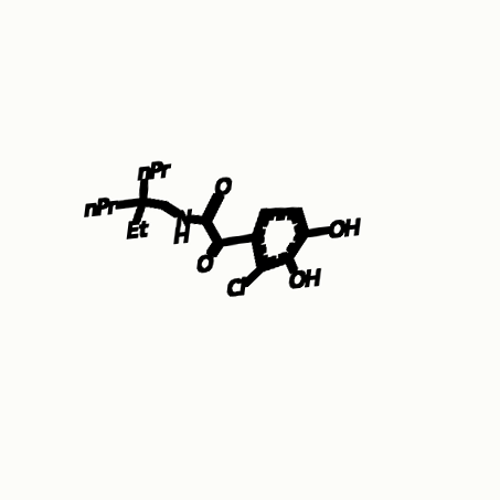 CCCC(CC)(CCC)CNC(=O)C(=O)c1ccc(O)c(O)c1Cl